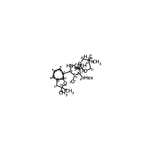 CCCCCCN([S+]([O-])C(NC(=O)O)c1cccc2c1OC(C)(C)C2)P1(=S)OCC(C)(C)CO1